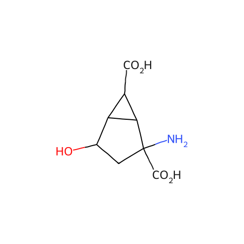 NC1(C(=O)O)CC(O)C2C(C(=O)O)C21